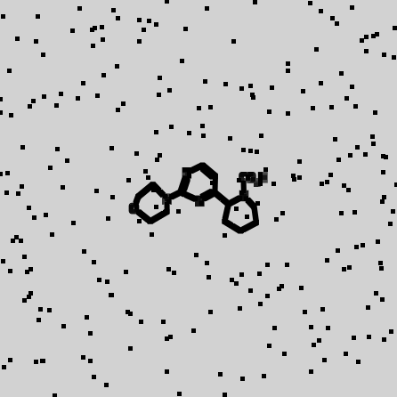 O=C(O)N1CCCCC1c1ccnc(N2CCOCC2)n1